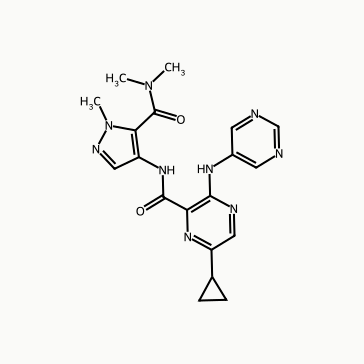 CN(C)C(=O)c1c(NC(=O)c2nc(C3CC3)cnc2Nc2cncnc2)cnn1C